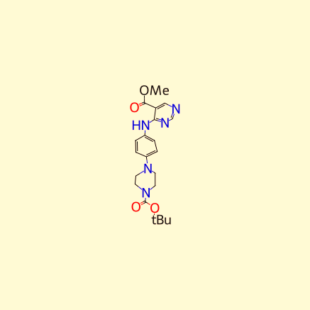 COC(=O)c1cncnc1Nc1ccc(N2CCN(C(=O)OC(C)(C)C)CC2)cc1